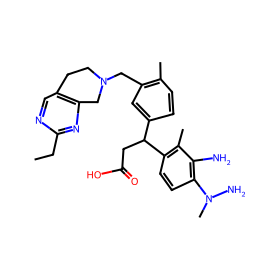 CCc1ncc2c(n1)CN(Cc1cc(C(CC(=O)O)c3ccc(N(C)N)c(N)c3C)ccc1C)CC2